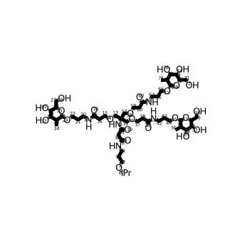 CC(C)OCCCNC(=O)CC(=O)NC(COCCC(=O)NCCCO[C@@H]1OC(CO)[C@@H](O)[C@H](O)C1C)(COCCC(=O)NCCCO[C@@H]1OC(CO)[C@@H](O)[C@H](O)C1C)COCCC(=O)NCCCO[C@@H]1OC(CO)[C@@H](O)[C@H](O)C1C